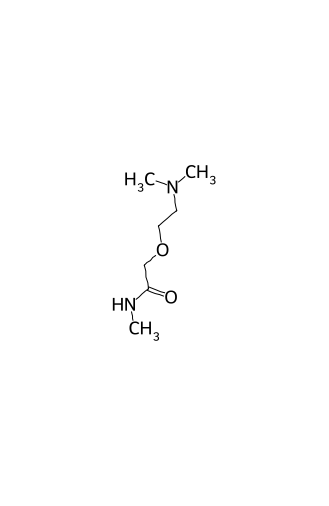 CNC(=O)COCCN(C)C